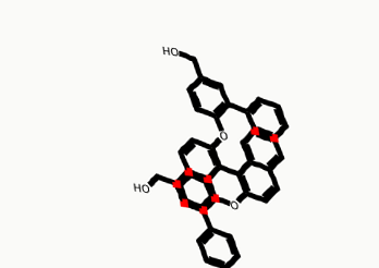 OCc1ccc(Oc2ccc3ccccc3c2-c2c(Oc3ccc(CO)cc3-c3ccccc3)ccc3ccccc23)c(-c2ccccc2)c1